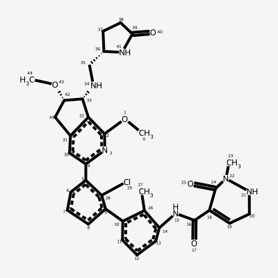 COc1nc(-c2cccc(-c3cccc(NC(=O)C4=CCNN(C)C4=O)c3C)c2Cl)cc2c1[C@@H](NC[C@@H]1CCC(=O)N1)[C@@H](OC)C2